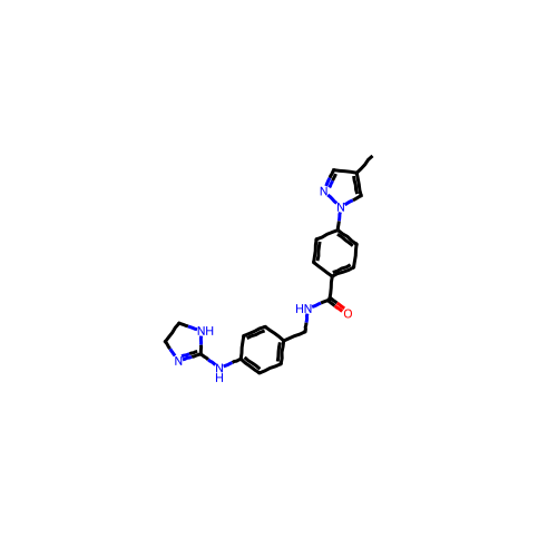 Cc1cnn(-c2ccc(C(=O)NCc3ccc(NC4=NCCN4)cc3)cc2)c1